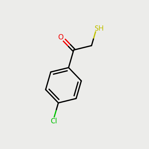 O=C(CS)c1ccc(Cl)cc1